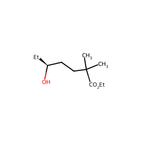 CCOC(=O)C(C)(C)CC[C@@H](O)CC